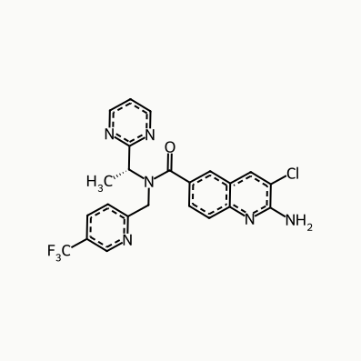 C[C@H](c1ncccn1)N(Cc1ccc(C(F)(F)F)cn1)C(=O)c1ccc2nc(N)c(Cl)cc2c1